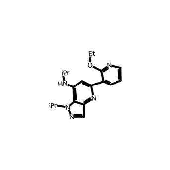 CCOc1ncccc1-c1cc(NC(C)C)c2c(cnn2C(C)C)n1